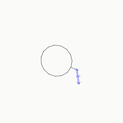 [N-]=[N+]=NC1CCCCCCCCCCCCCC1